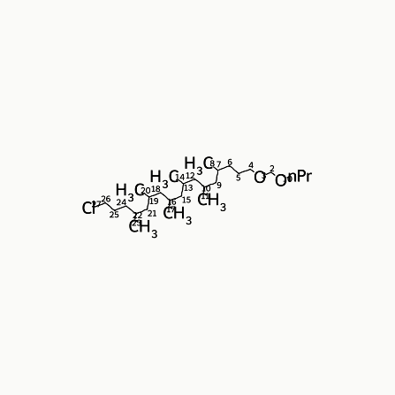 CCCOCOCCCC(C)CC(C)CC(C)CC(C)CC(C)CC(C)CCCCl